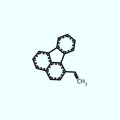 C=Cc1ccc2cccc3c2c1-c1ccccc1-3